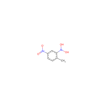 Cc1ccc([N+](=O)[O-])cc1N(O)O